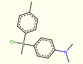 Cc1ccc([Si](C)(Cl)c2ccc(N(C)C)cc2)cc1